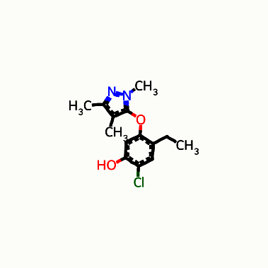 CCc1cc(Cl)c(O)cc1Oc1c(C)c(C)nn1C